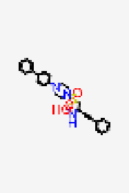 O=S(=O)(CC(C#Cc1ccccc1)NO)N1CCN(c2ccc(-c3ccccc3)cc2)CC1